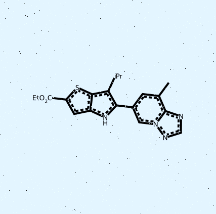 CCOC(=O)c1cc2[nH]c(-c3cc(C)c4ncnn4c3)c(C(C)C)c2s1